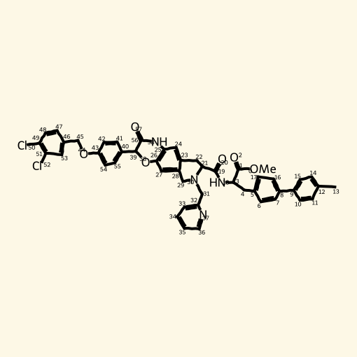 COC(=O)C(Cc1ccc(-c2ccc(C)cc2)cc1)NC(=O)C1Cc2cc3c(cc2CN1Cc1ccccn1)OC(c1ccc(OCc2ccc(Cl)c(Cl)c2)cc1)C(=O)N3